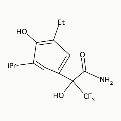 CCc1cc(C(O)(C(N)=O)C(F)(F)F)cc(C(C)C)c1O